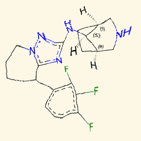 Fc1ccc(C2CCCCn3nc(N[C@@H]4[C@@H]5CC[C@H]4CNC5)nc32)c(F)c1F